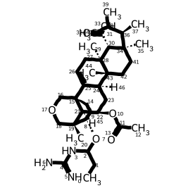 CCC(NC(=N)N)O[C@H]1[C@H](OC(C)=O)C[C@]23COC[C@]1(C)[C@@H]2CC[C@H]1C3=CC[C@@]2(C)[C@H](C(=O)O)[C@@](C)([C@H](C)C(C)C)CC[C@]12C